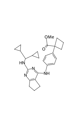 COC(=O)C1(c2ccc(Nc3nc(NC(C4CC4)C4CC4)nc4c3CCC4)cc2)CCC1